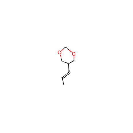 CC=CC1COCOC1